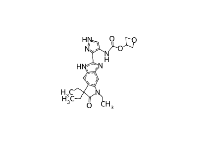 CCN1C(=O)C(CC)(CC)c2cc3[nH]c(-c4n[nH]cc4NC(=O)OC4COC4)nc3cc21